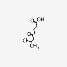 CC(Cl)CC(=O)CCCC(=O)O